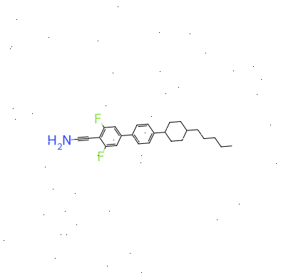 CCCCCC1CCC(c2ccc(-c3cc(F)c(C#CN)c(F)c3)cc2)CC1